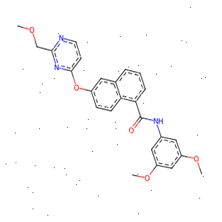 COCc1nccc(Oc2ccc3c(C(=O)Nc4cc(OC)cc(OC)c4)cccc3c2)n1